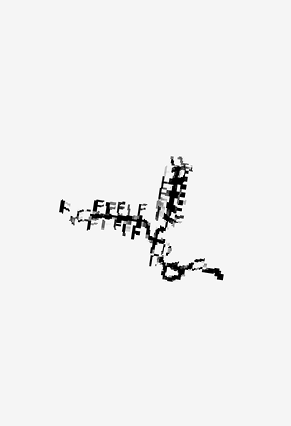 C=CCOc1cccc(C2OCC(CCC(F)(F)C(F)(F)C(F)(F)C(F)(F)C(F)(F)C(F)(F)F)(CCC(F)(F)C(F)(F)C(F)(F)C(F)(F)C(F)(F)C(F)(F)F)CO2)c1